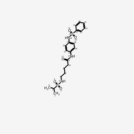 CC(C)S(=O)(=O)NCCCCC(=O)Nc1ccc(NS(=O)(=O)c2ccccc2)cc1